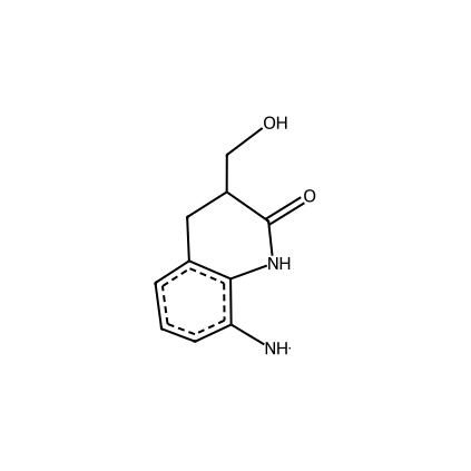 [NH]c1cccc2c1NC(=O)C(CO)C2